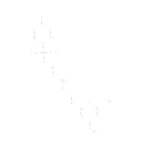 COc1cc(CCCNCCCC(C#N)(c2ccc(Cl)cc2)C(C)C)cc(OC)c1